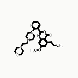 CCCc1cc(OC)cc2nc(-c3cccnc3N3CCN(CCN4CCOCC4)CC3)oc(=O)c12